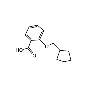 O=C(O)c1ccccc1OCC1CCCC1